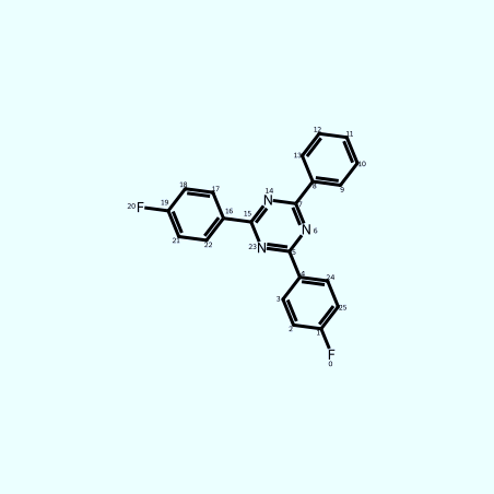 Fc1ccc(-c2nc(-c3ccccc3)nc(-c3ccc(F)cc3)n2)cc1